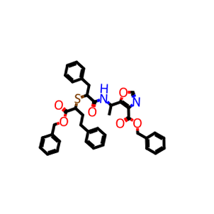 CC(NC(=O)C(Cc1ccccc1)SC(CCc1ccccc1)C(=O)OCc1ccccc1)c1ocnc1C(=O)OCc1ccccc1